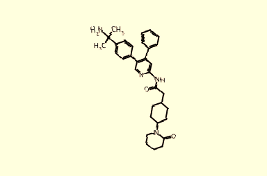 CC(C)(N)c1ccc(-c2cnc(NC(=O)CC3CCC(N4CCCCC4=O)CC3)cc2-c2ccccc2)cc1